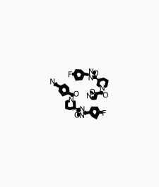 N#Cc1ccc(C(=O)N2CCC[C@H](c3nc(-c4ccc(F)cc4)no3)C2)cc1.O=C(c1ccno1)N1CCC[C@H](c2nc(-c3ccc(F)cc3)no2)C1